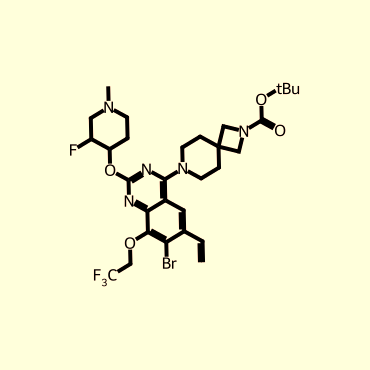 C=Cc1cc2c(N3CCC4(CC3)CN(C(=O)OC(C)(C)C)C4)nc(OC3CCN(C)CC3F)nc2c(OCC(F)(F)F)c1Br